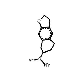 CCCN(CCC)C1CCc2cc3c(cc2C1)OCC3